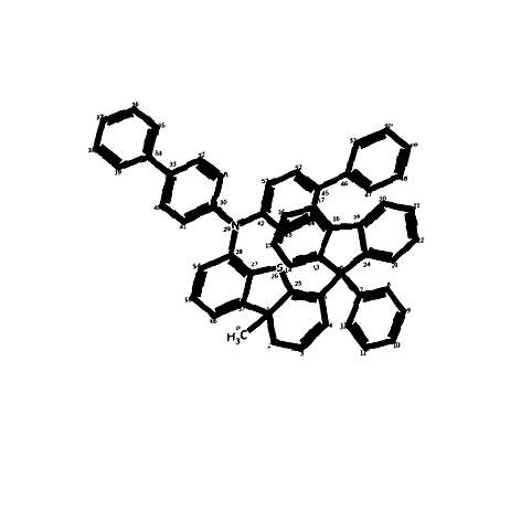 CC12CC=CC(C3(c4ccccc4)c4ccccc4-c4ccccc43)=C1Sc1c(N(c3ccc(-c4ccccc4)cc3)c3ccc(-c4ccccc4)cc3)cccc12